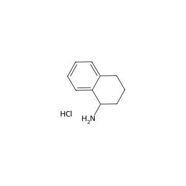 Cl.NC1CCCc2ccccc21